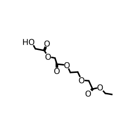 CCOC(=O)COCCOC(=O)COC(=O)CO